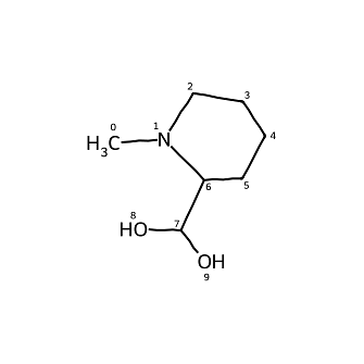 CN1CCCCC1C(O)O